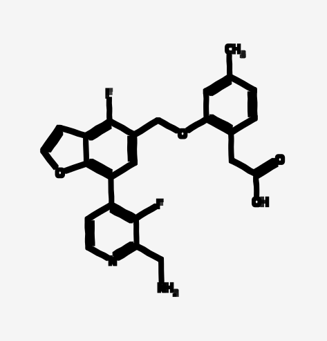 Cc1ccc(CC(=O)O)c(OCc2cc(-c3ccnc(CN)c3F)c3occc3c2F)c1